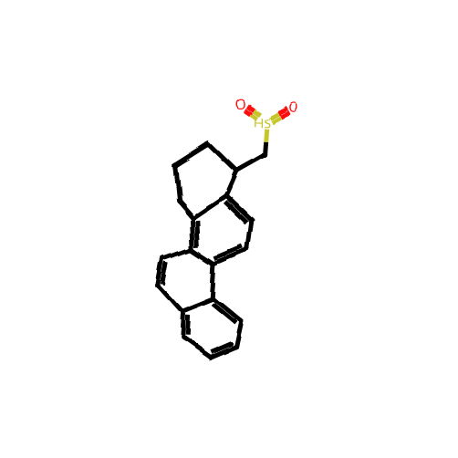 O=[SH](=O)CC1CCCc2c1ccc1c2ccc2ccccc21